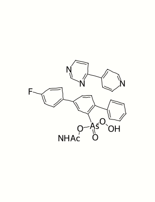 CC(=O)NO[As](=O)(OO)c1cc(-c2ccc(F)cc2)ccc1-c1ccccc1.c1cc(-c2ccncn2)ccn1